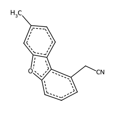 Cc1ccc2c(c1)oc1cccc(CC#N)c12